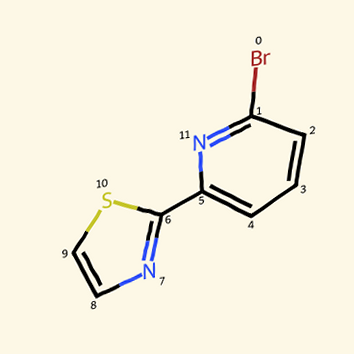 Brc1cccc(-c2nccs2)n1